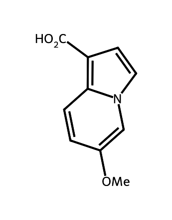 COc1ccc2c(C(=O)O)ccn2c1